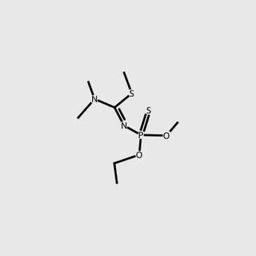 CCOP(=S)(N=C(SC)N(C)C)OC